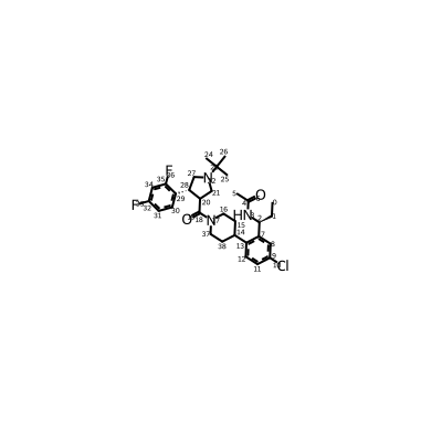 CC[C@H](NC(C)=O)c1cc(Cl)ccc1C1CCN(C(=O)C2CN(C(C)(C)C)C[C@H]2c2ccc(F)cc2F)CC1